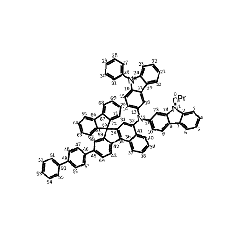 CCCn1c2ccccc2c2ccc(N(c3ccc4c(c3)c3ccccc3n4-c3ccccc3)c3cc4c(c5ccccc35)-c3ccc(-c5ccc(-c6ccccc6)cc5)cc3C43c4ccccc4-c4ccccc43)cc21